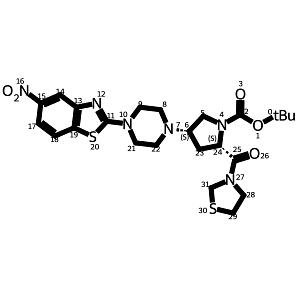 CC(C)(C)OC(=O)N1C[C@@H](N2CCN(c3nc4cc([N+](=O)[O-])ccc4s3)CC2)C[C@H]1C(=O)N1CCSC1